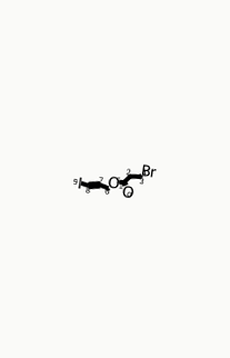 O=C(CCBr)OCC#CI